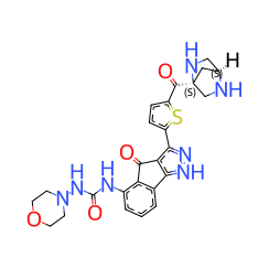 O=C(Nc1cccc2c1C(=O)c1c(-c3ccc(C(=O)[C@]45CN[C@H](CN4)C5)s3)n[nH]c1-2)NN1CCOCC1